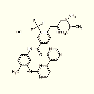 Cc1ccc(NC(=O)c2ccc(CC(=N)C[C@H](C)N(C)C)c(C(F)(F)F)c2)cc1Nc1nccc(-c2cncnc2)n1.Cl